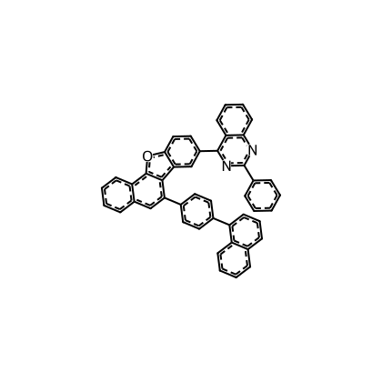 c1ccc(-c2nc(-c3ccc4oc5c6ccccc6cc(-c6ccc(-c7cccc8ccccc78)cc6)c5c4c3)c3ccccc3n2)cc1